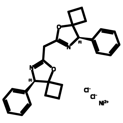 [Cl-].[Cl-].[Ni+2].c1ccc([C@H]2N=C(CC3=N[C@H](c4ccccc4)C4(CCC4)O3)OC23CCC3)cc1